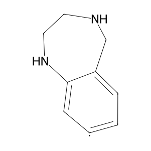 [c]1ccc2c(c1)NCCNC2